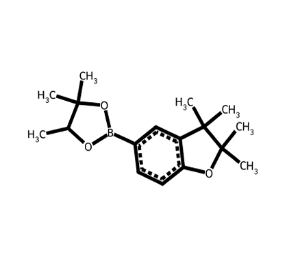 CC1OB(c2ccc3c(c2)C(C)(C)C(C)(C)O3)OC1(C)C